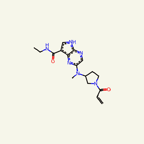 C=CC(=O)N1CCC(N(C)c2cnc3[nH]cc(C(=O)NCC)c3n2)C1